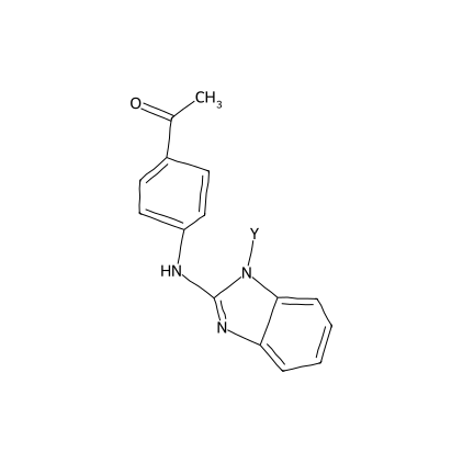 CC(=O)c1ccc(Nc2nc3ccccc3[n]2[Y])cc1